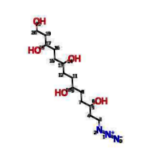 [N-]=[N+]=NCCC(O)CCC(O)CCC(O)CCC(O)CCO